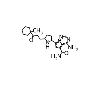 CC1(C(=O)CCC2CCC(c3cc(C(N)=O)c4c(N)ncnn34)N2)CCCCC1